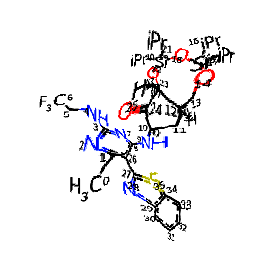 Cc1nc(NCC(F)(F)F)nc(N[C@@H]2C[C@@H]3CO[Si](C(C)C)(C(C)C)O[Si](C(C)C)(C(C)C)O[C@H]3C2=O)c1-c1nc2ccccc2s1